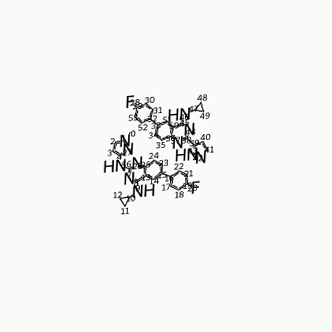 Cn1ccc(Nc2nc(NC3CC3)c3cc(-c4ccc(F)cc4)ccc3n2)n1.Fc1ccc(-c2ccc3nc(-c4ccn[nH]4)nc(NC4CC4)c3c2)cc1